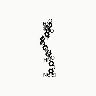 N#Cc1ccc(O[C@H]2CC[C@H](NC(=O)c3cnc(N4CCC(N5CCC6(CCN(c7cc8c(cc7F)C(=O)N(C7CCC(=O)NC7=O)C8=O)C6)C5)CC4)cn3)CC2)cc1Cl